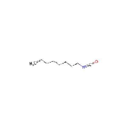 C=CCCCCCCN=C=O